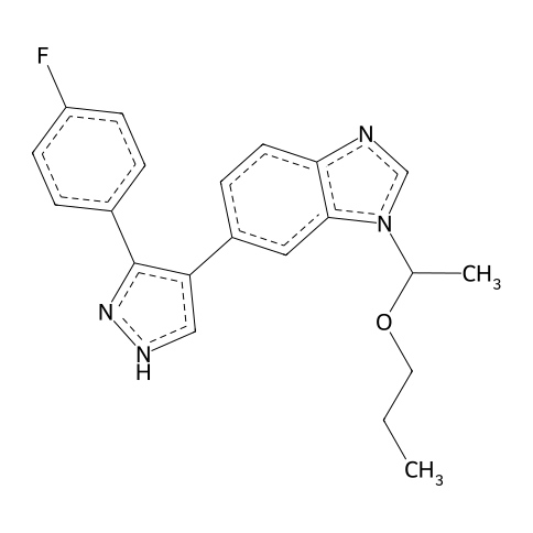 CCCOC(C)n1cnc2ccc(-c3c[nH]nc3-c3ccc(F)cc3)cc21